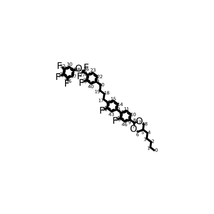 CCCCCC1COC(c2ccc(-c3ccc(CCCCc4ccc(C(F)(F)Oc5cc(F)c(F)c(F)c5)c(F)c4)c(F)c3)c(F)c2)OC1